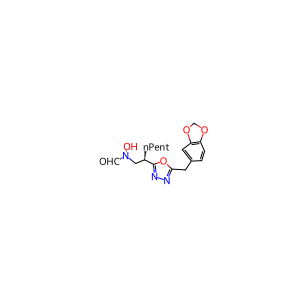 CCCCC[C@H](CN(O)C=O)c1nnc(Cc2ccc3c(c2)OCO3)o1